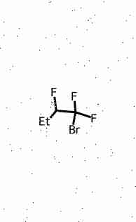 CCC(F)C(F)(F)Br